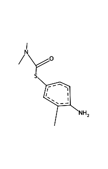 Cc1cc(SC(=O)N(C)C)ccc1N